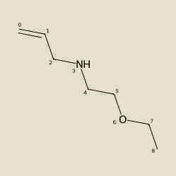 C=CCNCCOCC